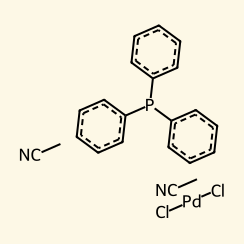 CC#N.CC#N.[Cl][Pd][Cl].c1ccc(P(c2ccccc2)c2ccccc2)cc1